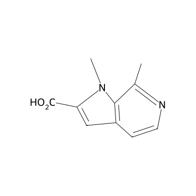 Cc1nccc2cc(C(=O)O)n(C)c12